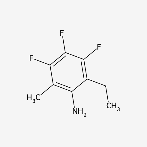 CCc1c(N)c(C)c(F)c(F)c1F